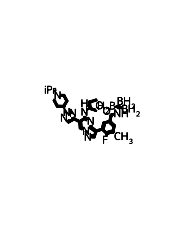 BC(B)(B)NC(=O)c1cc(C)c(F)c(-c2cnn3cc(-c4cnn(C5CCN(C(C)C)CC5)n4)c(N[C@H]4CCOC4)nc23)c1